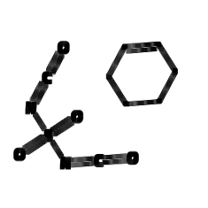 C1=CCCCC1.O=C=NS(=O)(=O)N=C=O